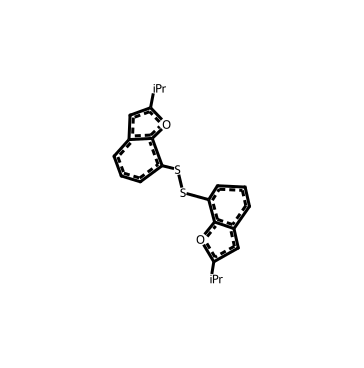 CC(C)c1cc2cccc(SSc3cccc4cc(C(C)C)oc34)c2o1